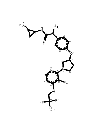 CC(C(=O)NC1CC1C)c1ccc(OC2CCN(c3ncnc(OCC(C)(F)F)c3F)C2)cc1